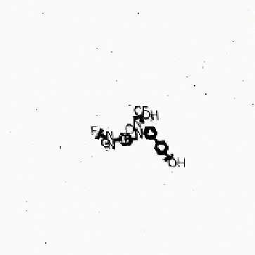 CC(C)(O)c1ccc(-c2cccc(N(CC34CCC(c5noc(C(C)(C)F)n5)(CC3)CC4)C(=O)N3CC(O)(C(F)(F)F)C3)c2)cc1